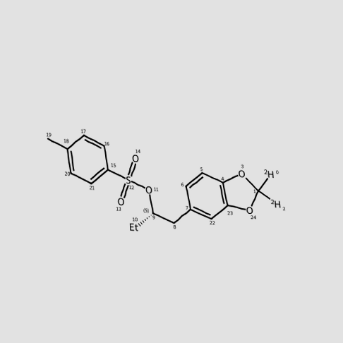 [2H]C1([2H])Oc2ccc(C[C@H](CC)OS(=O)(=O)c3ccc(C)cc3)cc2O1